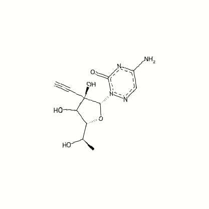 C#C[C@@]1(O)C(O)[C@@H]([C@@H](C)O)O[C@H]1n1ncc(N)nc1=O